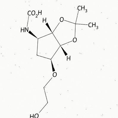 CC1(C)O[C@@H]2[C@H](O1)[C@@H](OCCO)C[C@H]2NC(=O)O